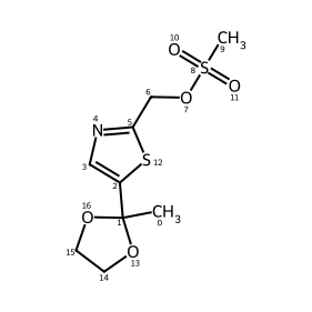 CC1(c2cnc(COS(C)(=O)=O)s2)OCCO1